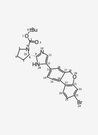 CC(C)(C)OC(=O)N1CCC[C@H]1c1ncc(-c2ccc3c(c2)COc2cc(Br)ccc2-3)[nH]1